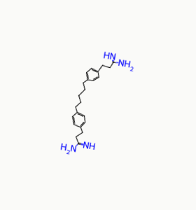 N=C(N)CCc1ccc(CCCCCc2ccc(CCC(=N)N)cc2)cc1